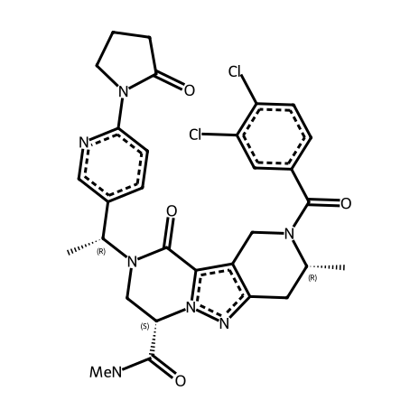 CNC(=O)[C@@H]1CN([C@H](C)c2ccc(N3CCCC3=O)nc2)C(=O)c2c3c(nn21)C[C@@H](C)N(C(=O)c1ccc(Cl)c(Cl)c1)C3